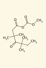 CCC(C)(C)C(=O)C(C)(C)CC(=O)OC(=O)OC